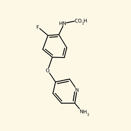 Nc1ccc(Oc2ccc(NC(=O)O)c(F)c2)cn1